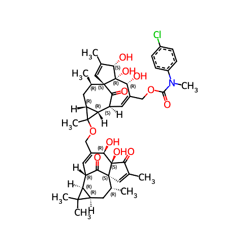 CC1=C[C@]23C(=O)[C@@H](C=C(COC4(C)[C@H]5[C@@H]6C=C(COC(=O)N(C)c7ccc(Cl)cc7)[C@@H](O)[C@]7(O)[C@@H](O)C(C)=C[C@@]7(C6=O)[C@H](C)C[C@H]54)[C@@H](O)[C@]2(O)C1=O)[C@H]1[C@@H](C[C@H]3C)C1(C)C